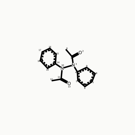 CC(=O)N(c1ccccc1)N(C(C)=O)c1ccccc1